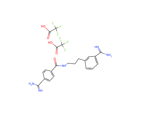 N=C(N)c1ccc(C(=O)NCCCc2cccc(C(=N)N)c2)cc1.O=C(O)C(F)(F)F.O=C(O)C(F)(F)F